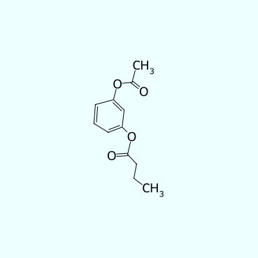 CCCC(=O)Oc1cccc(OC(C)=O)c1